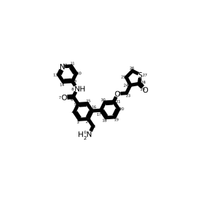 NCc1ccc(C(=O)Nc2ccncc2)cc1-c1cccc(OCC2CCSC2=O)c1